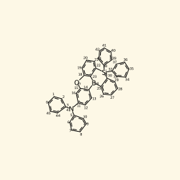 c1ccc(N(c2ccccc2)c2ccc3c(c2)Oc2cccc4c2B3c2ccccc2[Si]4(c2ccccc2)c2ccccc2)cc1